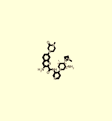 C[C@H]1CN(c2ccncc2NC(=O)c2nc3cc(N4CCN(C)C(=O)C4)ccc3cc2N)C[C@@H](N)[C@H]1n1ccn1C